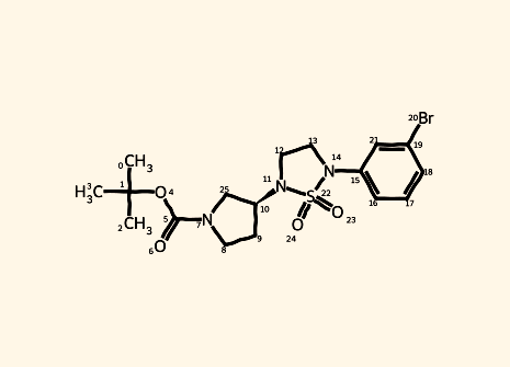 CC(C)(C)OC(=O)N1CC[C@H](N2CCN(c3cccc(Br)c3)S2(=O)=O)C1